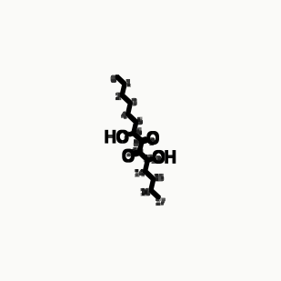 CCCCCCC(O)C(=O)C(=O)C(O)CCCC